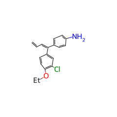 C=CC=C(c1ccc(N)cc1)c1ccc(OCC)c(Cl)c1